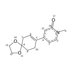 Cn1ccc(C2=CCC3(CC2)OCCO3)cc1=O